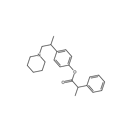 CC(CN1CCCCC1)c1ccc(OC(=O)C(C)c2ccccc2)cc1